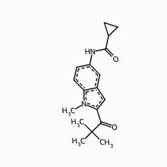 Cn1c(C(=O)C(C)(C)C)cc2cc(NC(=O)C3CC3)ccc21